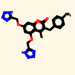 Cc1c(Cc2ccc([N+](=O)[O-])cc2)c(=O)oc2cc(OCc3nnn[nH]3)cc(OCc3nnn[nH]3)c12